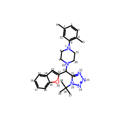 Cc1ccc(C)c(N2CCN(C(c3cc4ccccc4o3)c3nnnn3C(C)(C)C)CC2)c1